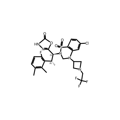 Cc1ccc(F)c([C@@H](C)[C@@H](c2n[nH]c(=O)o2)N2CN(C3CN(CC(F)(F)F)C3)c3cc(Cl)ccc3S2(=O)=O)c1C